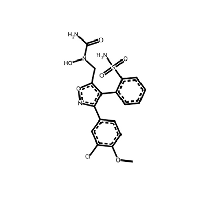 COc1ccc(-c2noc(CN(O)C(N)=O)c2-c2ccccc2S(N)(=O)=O)cc1Cl